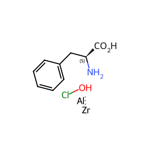 N[C@@H](Cc1ccccc1)C(=O)O.OCl.[Al].[Zr]